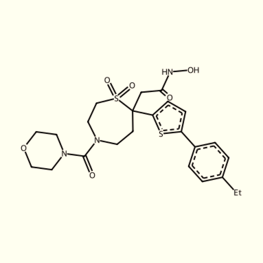 CCc1ccc(-c2ccc(C3(CC(=O)NO)CCN(C(=O)N4CCOCC4)CCS3(=O)=O)s2)cc1